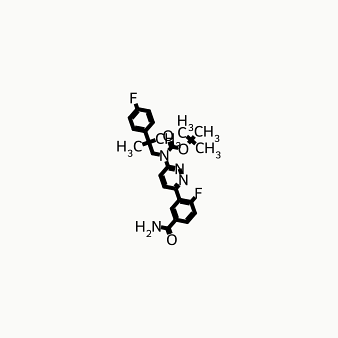 CC(C)(C)OC(=O)N(CC(C)(C)c1ccc(F)cc1)c1ccc(-c2cc(C(N)=O)ccc2F)nn1